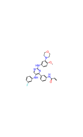 C=CC(=O)Nc1cccc(-c2nc(Nc3ccc(OC)c(N4CCOCC4)c3)ncc2Nc2cccc(F)c2)c1